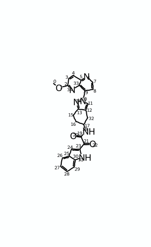 COc1ccc2nccc(-n3cc4c(n3)CCC(NC(=O)C(=O)c3cc5ccccc5[nH]3)C4)c2n1